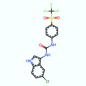 O=C(Nc1ccc(S(=O)(=O)C(F)(F)F)cc1)Nc1c[nH]c2ccc(Cl)cc12